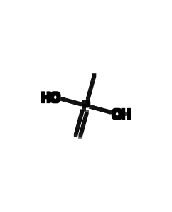 C=P(C)(O)O